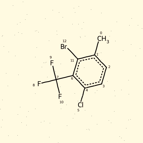 Cc1ccc(Cl)c(C(F)(F)F)c1Br